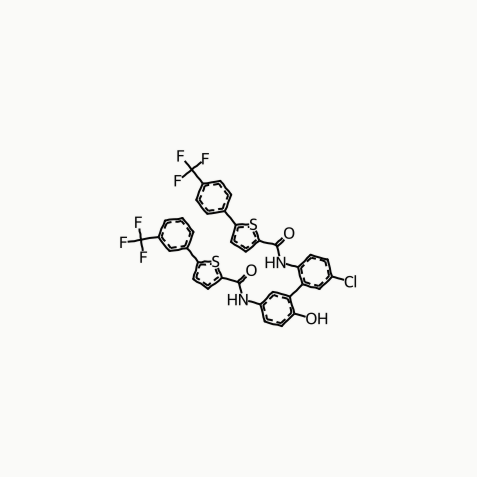 O=C(Nc1ccc(O)c(-c2cc(Cl)ccc2NC(=O)c2ccc(-c3ccc(C(F)(F)F)cc3)s2)c1)c1ccc(-c2cccc(C(F)(F)F)c2)s1